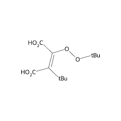 CC(C)(C)OOC(C(=O)O)=C(C(=O)O)C(C)(C)C